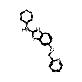 c1ccc(COc2ccc3nc(NC4CCCCC4)sc3c2)nc1